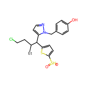 CCC(CCCl)C(c1ccc([SH](=O)=O)s1)c1ccnn1Cc1ccc(O)cc1